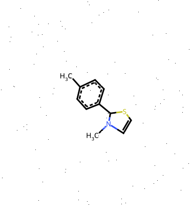 Cc1ccc([C]2SC=CN2C)cc1